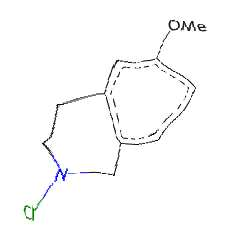 COc1ccc2c(c1)CCN(Cl)C2